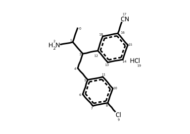 CC(N)C(Cc1ccc(Cl)cc1)c1cccc(C#N)c1.Cl